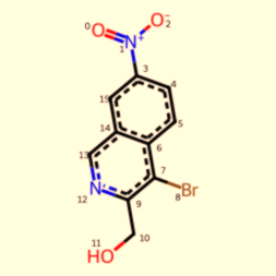 O=[N+]([O-])c1ccc2c(Br)c(CO)ncc2c1